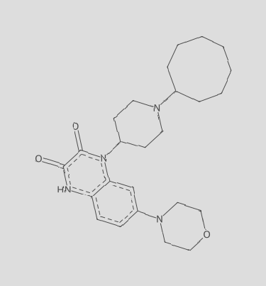 O=c1[nH]c2ccc(N3CCOCC3)cc2n(C2CCN(C3CCCCCCC3)CC2)c1=O